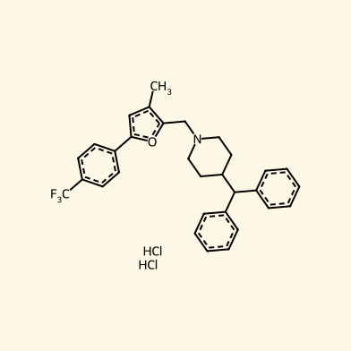 Cc1cc(-c2ccc(C(F)(F)F)cc2)oc1CN1CCC(C(c2ccccc2)c2ccccc2)CC1.Cl.Cl